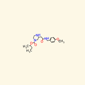 CCC(C)OC(=O)N1CCNC(CC(=O)NCc2ccc(OC)cc2)C1